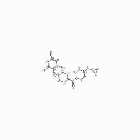 O=C(C1CCN(CC2CC2)CC1)N1CCC(Oc2c(F)cc(F)cc2F)CC1